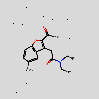 COc1ccc2oc(C(=O)C(C)(C)C)c(CC(=O)N(CC(C)C)CC(C)C)c2c1